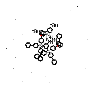 CC(C)(C)c1ccc2c(c1)c1cc(C(C)(C)C)ccc1n2-c1nc(-c2cc([Si](c3ccc(-c4ccccc4)cc3)(c3ccc(-c4ccccc4)cc3)c3ccc(-c4ccccc4)cc3)cc([Si](c3ccc(-c4ccccc4)cc3)(c3ccc(-c4ccccc4)cc3)c3ccc(-c4ccccc4)cc3)c2)nc(-n2c3ccccc3c3ccccc32)n1